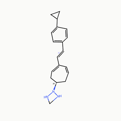 C1=CC(/C=C/c2ccc(C3CC3)cc2)=CC[C@H](N2NCN2)C1